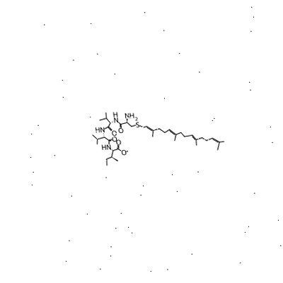 CC[C@H](C)[C@H](NC(=O)[C@@H](NC(=O)[C@@H](NC(=O)[C@@H](N)CSC/C=C(\C)CC/C=C(\C)CC/C=C(\C)CCC=C(C)C)C(C)C)C(C)C)C(=O)OC